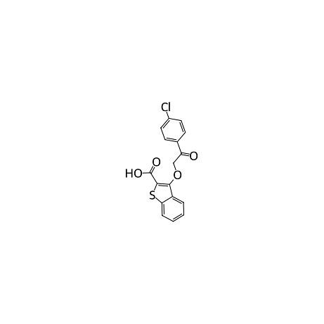 O=C(COc1c(C(=O)O)sc2ccccc12)c1ccc(Cl)cc1